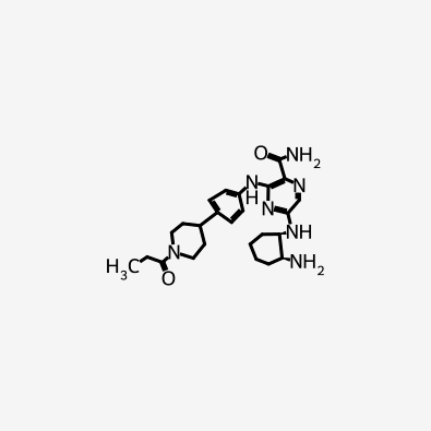 CCC(=O)N1CCC(c2ccc(Nc3nc(N[C@@H]4CCCC[C@@H]4N)cnc3C(N)=O)cc2)CC1